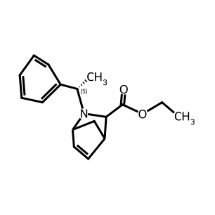 CCOC(=O)C1C2C=CC(C2)N1[C@@H](C)c1ccccc1